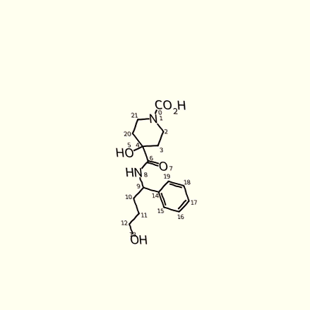 O=C(O)N1CCC(O)(C(=O)NC(CCCO)c2ccccc2)CC1